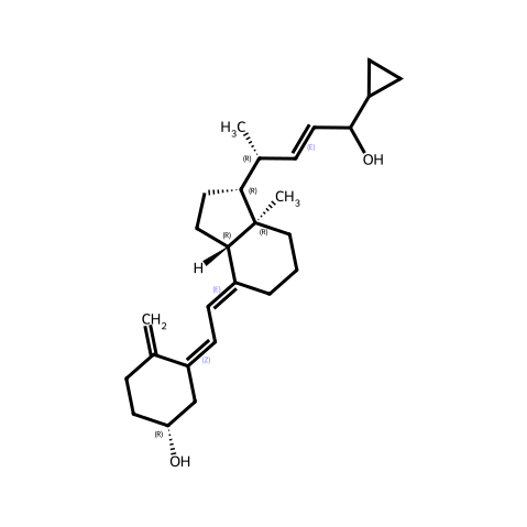 C=C1CC[C@@H](O)C/C1=C/C=C1\CCC[C@]2(C)[C@@H]([C@H](C)/C=C/C(O)C3CC3)CC[C@@H]12